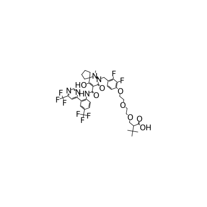 CN1N(Cc2ccc(OCCOCCOCC(C(=O)O)C(C)(C)C)c(F)c2F)C(=O)C(C(=O)Nc2ccc(C(F)(F)F)cc2-c2cc(C(F)(F)F)ncn2)=C(O)C12CCCC2